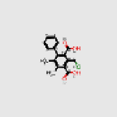 Cc1c(C)c(-c2ccccc2)c(C(=O)O)c(CCl)c1C(=O)O